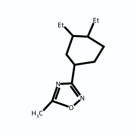 CCC1CCC(c2noc(C)n2)CC1CC